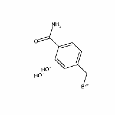 [B+2]Cc1ccc(C(N)=O)cc1.[OH-].[OH-]